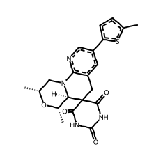 Cc1ccc(-c2cnc3c(c2)CC2(C(=O)NC(=O)NC2=O)[C@H]2[C@H](C)O[C@H](C)CN32)s1